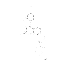 COC(=O)C[C@@H]1CCCN(C(=O)C(C)Oc2ccc3c(-c4ccc(F)cc4Cl)cc(=O)oc3c2)C1